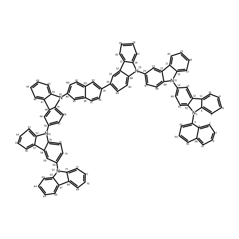 c1ccc2c(-n3c4ccccc4c4cc(-n5c6ccccc6c6cc(-n7c8ccccc8c8cc(-c9ccc%10cc(-n%11c%12ccccc%12c%12cc(-n%13c%14ccccc%14c%14cc(-n%15c%16ccccc%16c%16ccccc%16%15)ccc%14%13)ccc%12%11)ccc%10c9)ccc87)ccc65)ccc43)cccc2c1